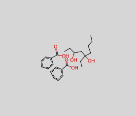 CCCCC(O)(CC)CC(O)CC.O=C(O)c1ccccc1.O=C(O)c1ccccc1